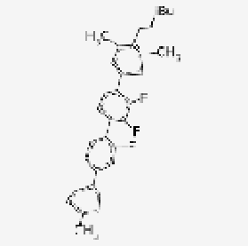 CC[C@H](C)CCc1c(C)cc(-c2ccc(-c3ccc(-c4ccc(C)cc4)cc3F)c(F)c2F)cc1C